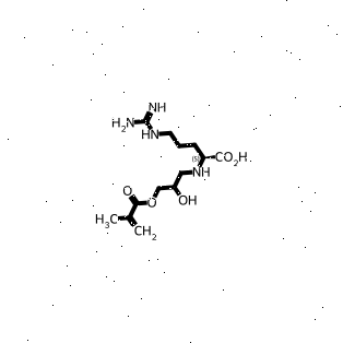 C=C(C)C(=O)OCC(O)CN[C@@H](CCCNC(=N)N)C(=O)O